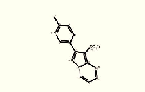 CCOC(=O)c1c(-c2ccc(C)nc2)nn2cccnc12